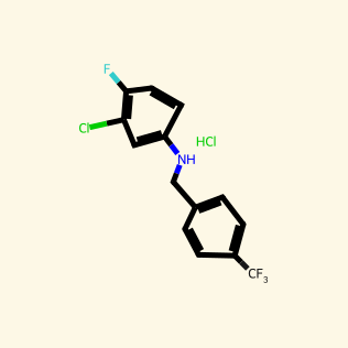 Cl.Fc1ccc(NCc2ccc(C(F)(F)F)cc2)cc1Cl